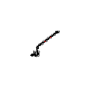 [CH2]c1ccc(NC[C@H](C)NC(=O)[C@@H](NC(=O)CCCC2CCN(CCOCCOCCOCCOCCOCCOCCOCCOCCN=[N+]=[N-])CC2)C(C)C)cc1